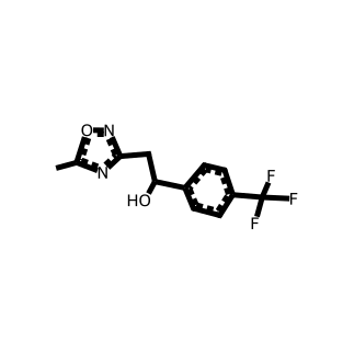 Cc1nc(CC(O)c2ccc(C(F)(F)F)cc2)no1